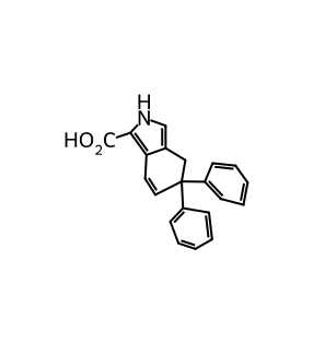 O=C(O)c1[nH]cc2c1C=CC(c1ccccc1)(c1ccccc1)C2